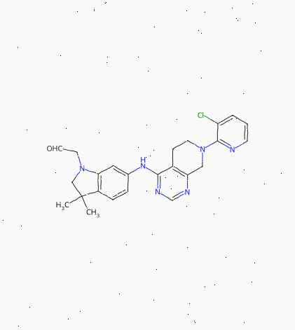 CC1(C)CN(CC=O)c2cc(Nc3ncnc4c3CCN(c3ncccc3Cl)C4)ccc21